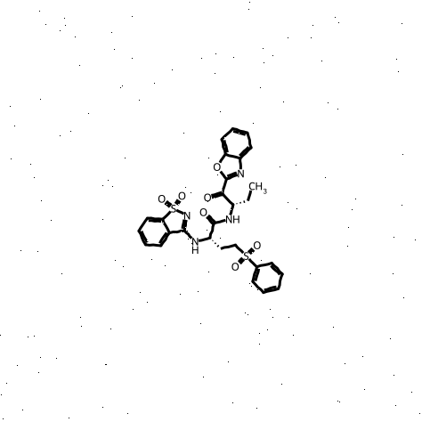 CC[C@H](NC(=O)[C@H](CCS(=O)(=O)c1ccccc1)NC1=NS(=O)(=O)c2ccccc21)C(=O)c1nc2ccccc2o1